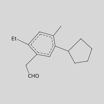 CCc1cc(C)c(C2CCCC2)cc1CC=O